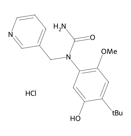 COc1cc(C(C)(C)C)c(O)cc1N(Cc1cccnc1)C(N)=O.Cl